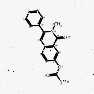 CNC(=O)Oc1ccc2cc(-c3ccccc3)n(C)c(=O)c2c1